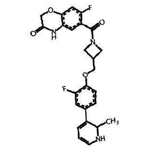 CC1NC=CC=C1c1ccc(OCC2CN(C(=O)c3cc4c(cc3F)OCC(=O)N4)C2)c(F)c1